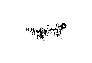 COC(=O)C1=C(COC(N)=O)CS[C@H]2C(NC(=O)CCCC(C(=O)OC)N3C(=O)c4ccccc4C3=O)C(=O)N12